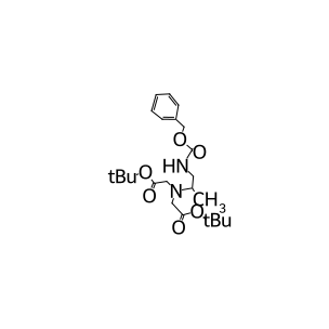 CC(CNC(=O)OCc1ccccc1)N(CC(=O)OC(C)(C)C)CC(=O)OC(C)(C)C